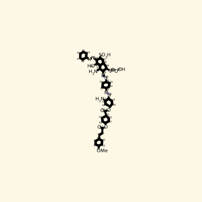 COc1ccc(C=CC(=O)Oc2ccc(C(=O)Oc3ccc(/N=N/c4ccc(/N=N/c5c(SOOO)cc6cc(S(=O)(=O)O)c(N=Nc7ccccc7)c(O)c6c5N)cc4)c(N)c3)cc2)cc1